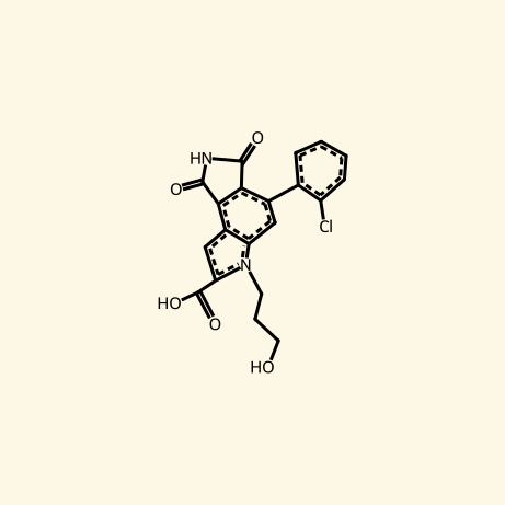 O=C1NC(=O)c2c1c(-c1ccccc1Cl)cc1c2cc(C(=O)O)n1CCCO